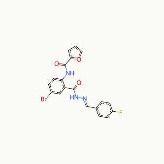 O=C(Nc1ccc(Br)cc1C(=O)NN=Cc1ccc(F)cc1)c1ccco1